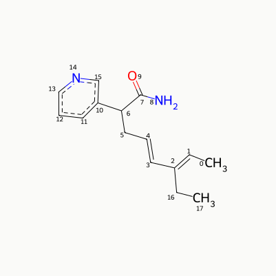 CC=C(C=CCC(C(N)=O)c1cccnc1)CC